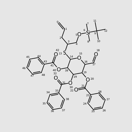 C=CCC(CO[Si](C)(C)C(C)(C)C)SC1OC(C=O)C(OC(=O)c2ccccc2)C(OC(=O)c2ccccc2)C1OC(=O)c1ccccc1